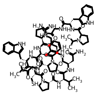 CC(C)C(=O)CNC(=O)[C@H]1CCCN1C(=O)[C@@H](CCCNC(=N)N)NC(=O)[C@@H](CC(N)=O)NC(=O)[C@@H](NC(=O)[C@@H]1CCCN1C(=O)[C@H](CS)NC(=O)[C@H](Cc1c[nH]c2ccccc12)NC(=O)[C@H](Cc1ccccc1)NC(=O)[C@H]1CCCN1C(=O)CNC(=O)[C@H](Cc1c[nH]c2ccccc12)NC(=O)C1CCCN1C(C)C)C(C)C